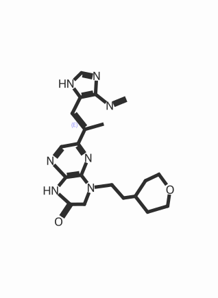 C=Nc1nc[nH]c1/C=C(\C)c1cnc2c(n1)N(CCC1CCOCC1)CC(=O)N2